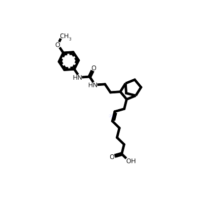 COc1ccc(NC(=O)NCCC2C3CCC(C3)C2C/C=C\CCCC(=O)O)cc1